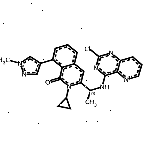 C[C@H](Nc1nc(Cl)nc2cccnc12)c1cc2cccc(-c3cnn(C)c3)c2c(=O)n1C1CC1